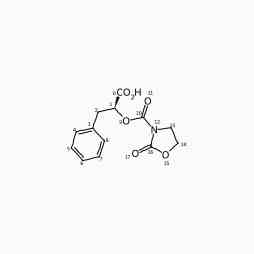 O=C(O)[C@H](Cc1ccccc1)OC(=O)N1CCOC1=O